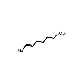 O=C(O)CCCCC=[CH][Na]